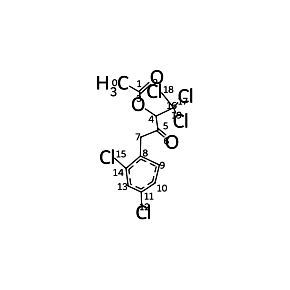 CC(=O)OC(C(=O)Cc1ccc(Cl)cc1Cl)C(Cl)(Cl)Cl